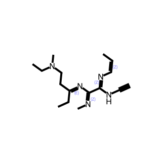 C#CNC(=N\C=C/C)/C(=N/C)/N=C(\CC)CCN(C)CC